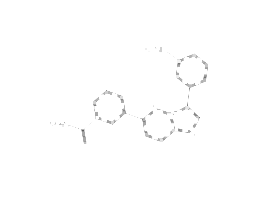 CNC(=O)c1cccc(-c2ccc3ncc(-c4cccc(NC(C)=O)c4)n3n2)c1